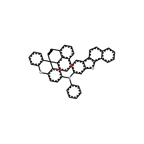 c1ccc(N(c2ccc3c(c2)C2(c4ccccc4O3)c3ccccc3-c3cccc4cccc2c34)c2ccc3c(c2)oc2c4ccccc4ccc32)cc1